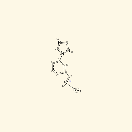 C/C(=C\c1cccc(-n2cncn2)c1)[N+](=O)[O-]